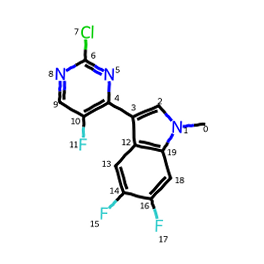 Cn1cc(-c2nc(Cl)ncc2F)c2cc(F)c(F)cc21